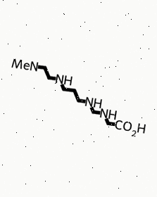 CNCCNCCCNCNCC(=O)O